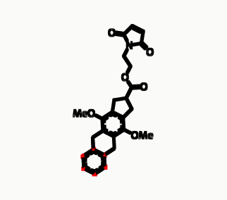 COc1c2c(c(OC)c3c1C1c4ccccc4C3c3ccccc31)CC(C(=O)OCCN1C(=O)C=CC1=O)C2